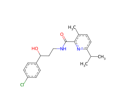 Cc1ccc(C(C)C)nc1C(=O)NCCC(O)c1ccc(Cl)cc1